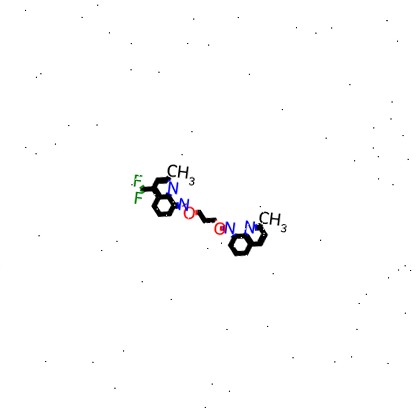 Cc1ccc2c(n1)/C(=N/OCCCO/N=C1\CCCc3c(C(F)F)cc(C)nc31)CCC2